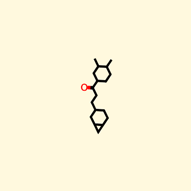 CC1CCC(C(=O)CCC2CCC3CC3C2)CC1C